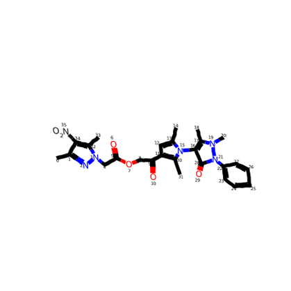 Cc1nn(CC(=O)OCC(=O)c2cc(C)n(-c3c(C)n(C)n(-c4ccccc4)c3=O)c2C)c(C)c1[N+](=O)[O-]